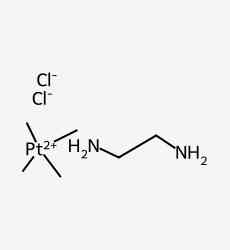 NCCN.[CH3][Pt+2]([CH3])([CH3])[CH3].[Cl-].[Cl-]